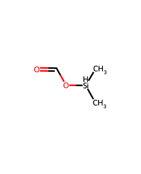 C[SiH](C)OC=O